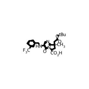 CC(C)(C)OC(=O)C[C@@]1(C)C[C@@H](C(=O)O)n2c1ncc(NCc1cccc(C(F)(F)F)c1)c2=O